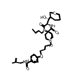 CCCCN1C(=O)[C@@H]([C@H](O)C2CCCCC2)NC(=O)C12CCN(CCCCOc1ccc(C(=O)NCC(C)C)cc1)CC2.Cl